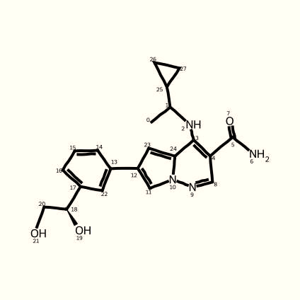 CC(Nc1c(C(N)=O)cnn2cc(-c3cccc([C@@H](O)CO)c3)cc12)C1CC1